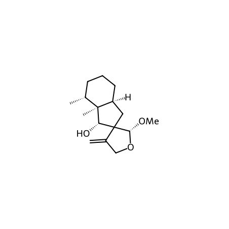 C=C1CO[C@@H](OC)C12C[C@@H]1CCC[C@@H](C)[C@]1(C)[C@H]2O